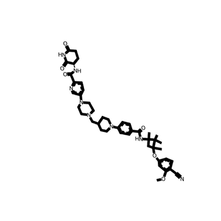 COc1cc(OC2(C)CC(C)(NC(=O)c3ccc(N4CCC(CN5CCN(c6ccc(C(=O)N[C@H]7CCC(=O)NC7=O)nc6)CC5)CC4)cc3)C2(C)C)ccc1C#N